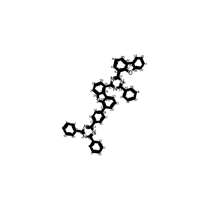 c1ccc(-c2nc(-c3ccccc3)nc(-c3ccc(-c4cccc5c4sc4cccc(-c6nc(-c7ccccc7)nc(-c7cccc8c7oc7ccccc78)n6)c45)cc3)n2)cc1